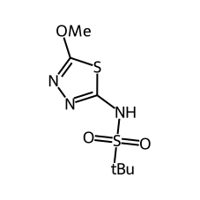 COc1nnc(NS(=O)(=O)C(C)(C)C)s1